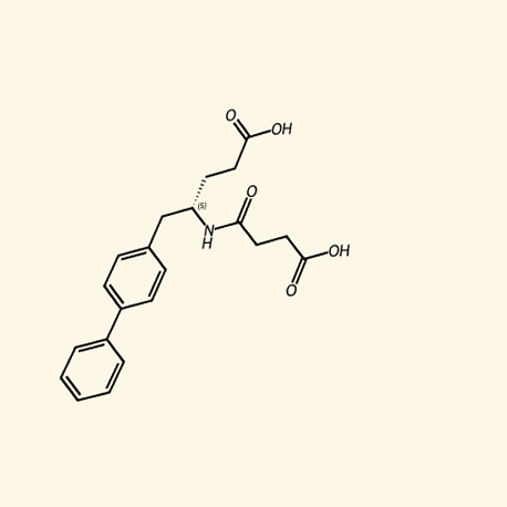 O=C(O)CCC(=O)N[C@@H](CCC(=O)O)Cc1ccc(-c2ccccc2)cc1